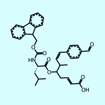 CC(C)C[C@H](NC(=O)OCC1c2ccccc2-c2ccccc21)C(=O)OC(CC=CC(=O)O)C(C)C=Cc1ccc(C=O)cc1